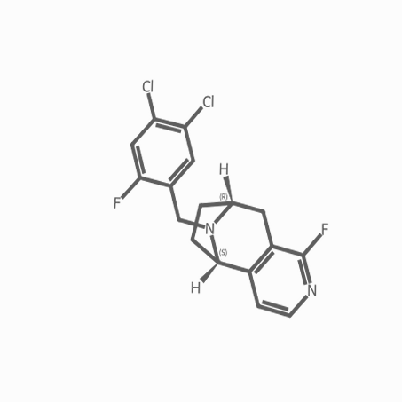 Fc1cc(Cl)c(Cl)cc1CN1[C@@H]2CC[C@H]1c1ccnc(F)c1C2